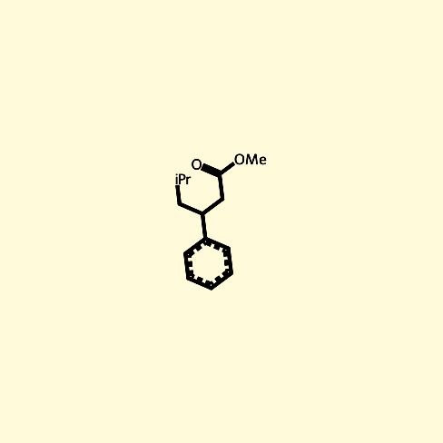 COC(=O)CC(CC(C)C)c1ccccc1